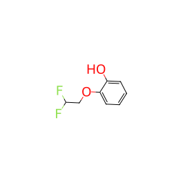 Oc1ccccc1OCC(F)F